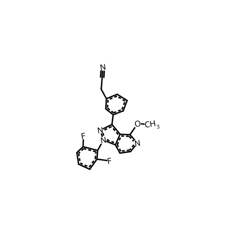 COc1nccc2c1c(-c1cccc(CC#N)c1)nn2-c1c(F)cccc1F